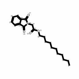 CCCCCCCCCCCOC(=O)CN1C(=O)c2ccccc2C1=O